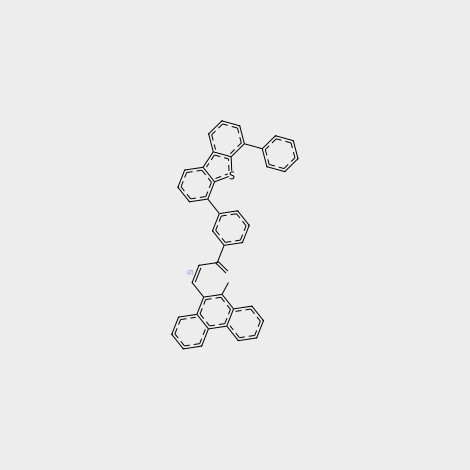 C=C(/C=C\c1c(C)c2ccccc2c2ccccc12)c1cccc(-c2cccc3c2sc2c(-c4ccccc4)cccc23)c1